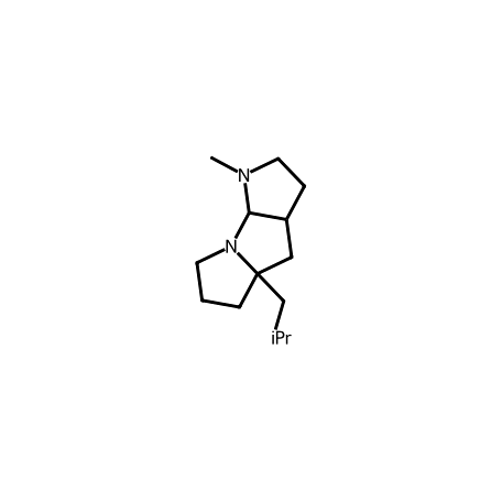 CC(C)CC12CCCN1C1C(CCN1C)C2